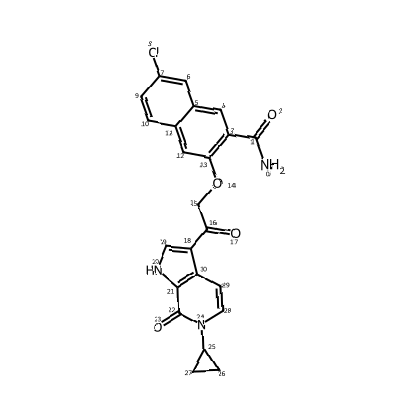 NC(=O)c1cc2cc(Cl)ccc2cc1OCC(=O)c1c[nH]c2c(=O)n(C3CC3)ccc12